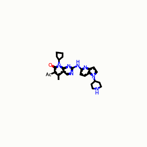 CC(=O)c1c(C)c2cnc(Nc3ccc4c(ccn4C4CCNCC4)n3)nc2n(C2CCCC2)c1=O